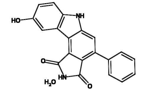 O.O=C1NC(=O)c2c1c(-c1ccccc1)cc1[nH]c3ccc(O)cc3c21